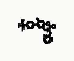 Cc1cc2c(cc1-c1ccc(C(F)(F)F)cc1)CN(Cc1ncccn1)C(=O)O2